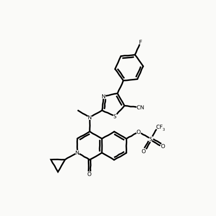 CN(c1nc(-c2ccc(F)cc2)c(C#N)s1)c1cn(C2CC2)c(=O)c2ccc(OS(=O)(=O)C(F)(F)F)cc12